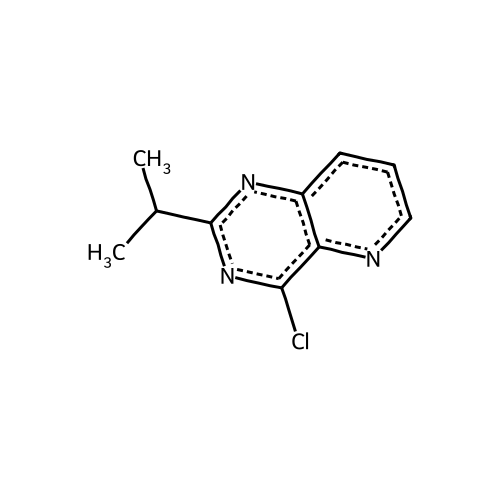 CC(C)c1nc(Cl)c2ncccc2n1